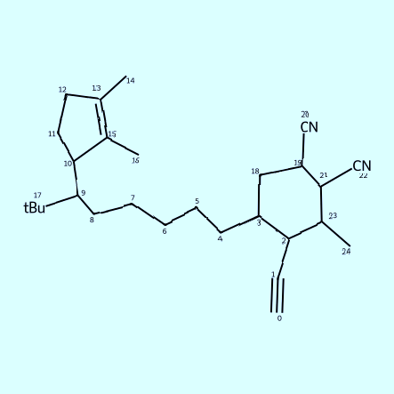 C#CC1C(CCCCCC(C2CCC(C)=C2C)C(C)(C)C)CC(C#N)C(C#N)C1C